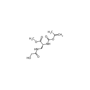 C=C(C)OC(=O)N[C@@H](CNC(=O)CO)C(=O)OC